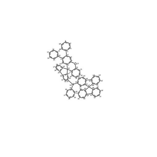 c1ccc(-c2cc3c(cc2-c2ccccc2)C2(c4ccccc4O3)c3ccccc3-c3ccc(N(c4ccccc4)c4ccc5c(c4)C4(c6ccccc6-c6ccccc64)c4ccccc4-5)cc32)cc1